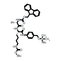 CC(C)[C@H](NC(=O)OCC1c2ccccc2-c2ccccc21)C(=O)N[C@@H](CCCCNC(=O)OC(C)(C)C)C(=O)Nc1ccc(CO[Si](C)(C)C(C)(C)C)cc1